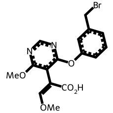 CO/C=C(\C(=O)O)c1c(OC)ncnc1Oc1cccc(CBr)c1